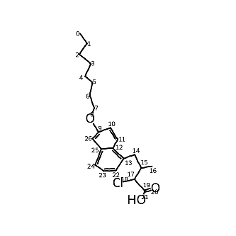 CCCCCCCCOc1ccc2c(CC(C)C(Cl)C(=O)O)cccc2c1